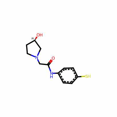 O=C(CN1CC[C@@H](O)C1)Nc1ccc(S)cc1